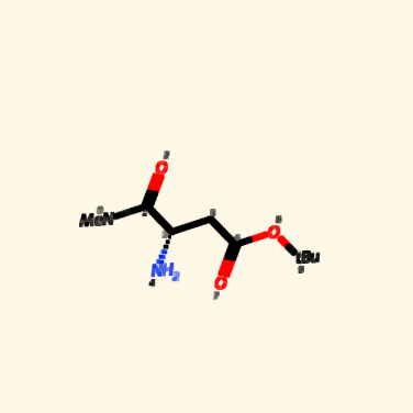 CNC(=O)[C@@H](N)CC(=O)OC(C)(C)C